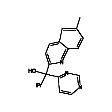 Cc1ccc2nc(C(O)(c3ccncn3)C(C)C)ccc2c1